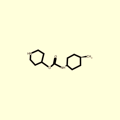 C[C@H]1CC[C@H](NC(=O)OC2CCNCC2)CC1